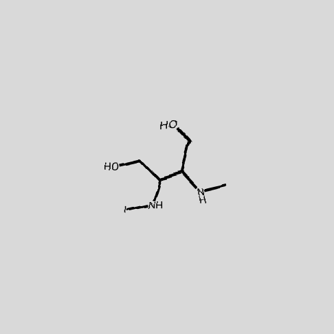 CNC(CO)C(CO)NI